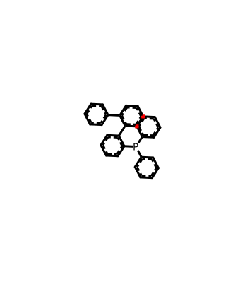 Cc1cccc(-c2ccccc2)c1-c1ccccc1P(c1ccccc1)c1ccccc1